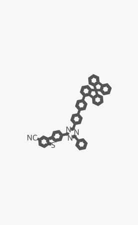 N#Cc1ccc2sc3cc(-c4nc(-c5ccccc5)nc(-c5ccc(-c6ccc(-c7cccc8c7-c7ccccc7C87c8ccccc8-c8ccccc87)cc6)cc5)n4)ccc3c2c1